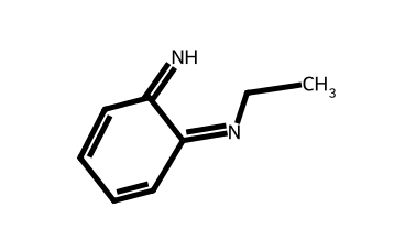 CC/N=C1/C=CC=CC1=N